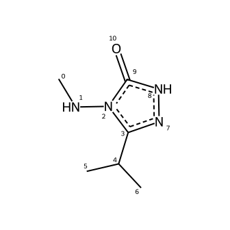 CNn1c(C(C)C)n[nH]c1=O